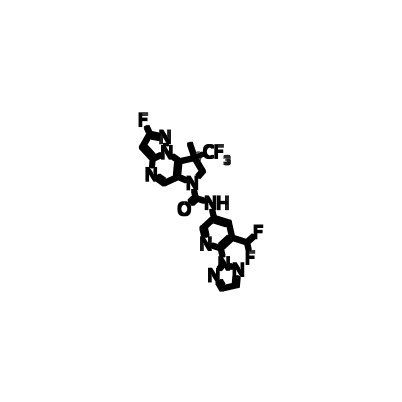 C[C@]1(C(F)(F)F)CN(C(=O)Nc2cnc(-n3nccn3)c(C(F)F)c2)c2cnc3cc(F)nn3c21